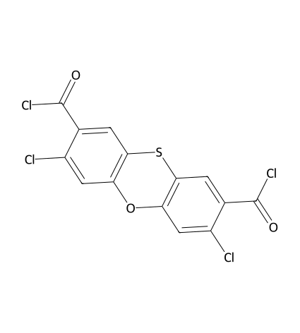 O=C(Cl)c1cc2c(cc1Cl)Oc1cc(Cl)c(C(=O)Cl)cc1S2